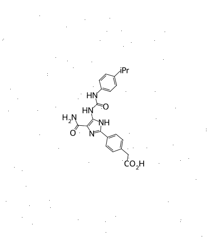 CC(C)c1ccc(NC(=O)Nc2[nH]c(-c3ccc(CC(=O)O)cc3)nc2C(N)=O)cc1